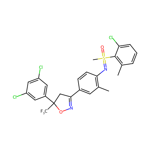 Cc1cc(C2=NOC(c3cc(Cl)cc(Cl)c3)(C(F)(F)F)C2)ccc1N=S(C)(=O)c1c(C)cccc1Cl